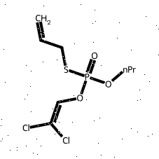 C=CCSP(=O)(OC=C(Cl)Cl)OCCC